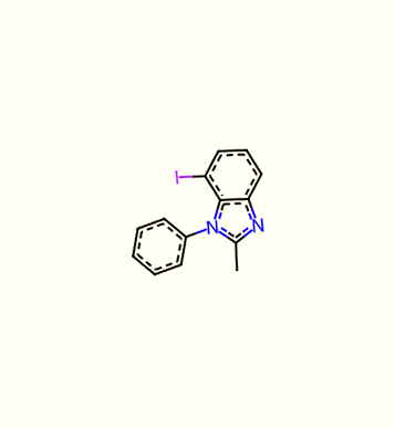 Cc1nc2cccc(I)c2n1-c1ccccc1